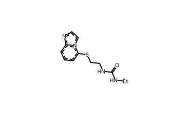 CCNC(=O)NCCSc1cccc2nccn12